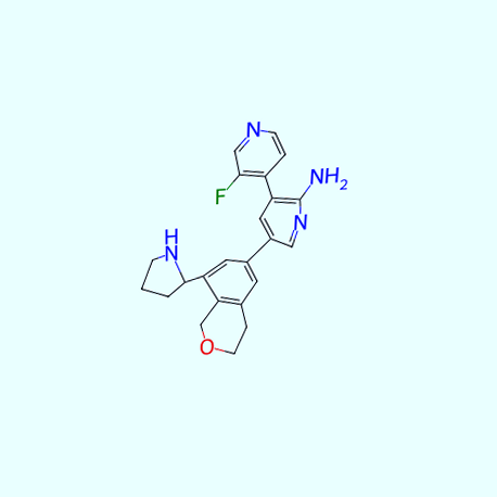 Nc1ncc(-c2cc3c(c(C4CCCN4)c2)COCC3)cc1-c1ccncc1F